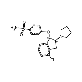 NS(=O)(=O)c1ccc(O[C@H]2c3cccc(Cl)c3C[C@@H]2N2CCCC2)cc1